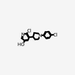 Oc1cnc(Cl)c(C2CCN(c3ccc(Cl)cc3)CC2)c1